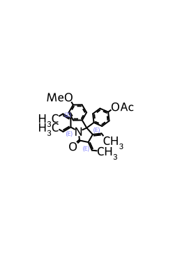 C/C=C\C(=C/C)N1C(=O)C(=C/C)/C(=C\C)C1(c1ccc(OC)cc1)c1ccc(OC(C)=O)cc1